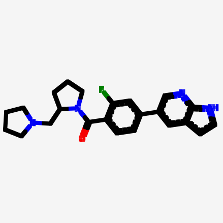 O=C(c1ccc(-c2cnc3[nH]ccc3c2)cc1F)N1CCCC1CN1CCCC1